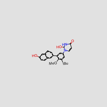 COc1c(-c2ccc3cc(O)ccc3c2)cc(N2C=CC(=O)NC2O)cc1C(C)(C)C